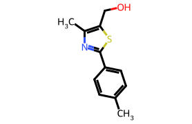 Cc1ccc(-c2nc(C)c(CO)s2)cc1